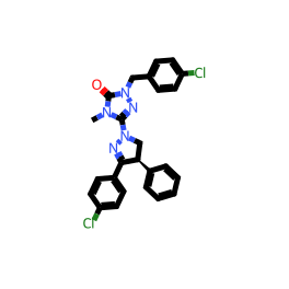 Cn1c(N2C[C@@H](c3ccccc3)C(c3ccc(Cl)cc3)=N2)nn(Cc2ccc(Cl)cc2)c1=O